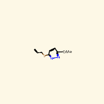 C=CCSc1ccc(OC)nn1